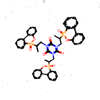 CC(Cn1c(=O)n(CC(C)P2(=O)Oc3ccccc3-c3ccccc32)c(=O)n(CC(C)P2(=O)Oc3ccccc3-c3ccccc32)c1=O)P1(=O)Oc2ccccc2-c2ccccc21